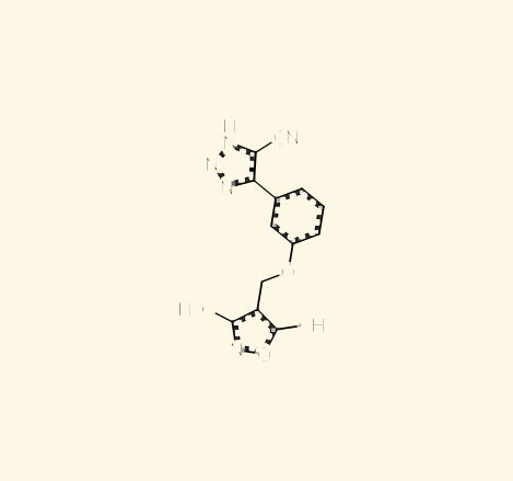 Cc1noc(C)c1COc1cccc(-c2nn[nH]c2C#N)c1